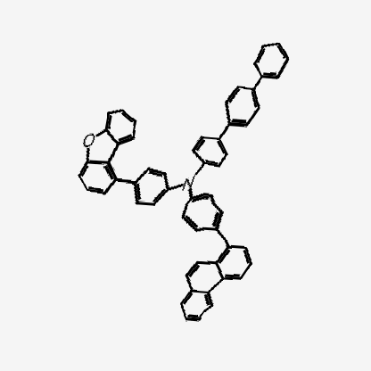 c1ccc(-c2ccc(-c3ccc(N(c4ccc(-c5cccc6c5ccc5ccccc56)cc4)c4ccc(-c5cccc6oc7ccccc7c56)cc4)cc3)cc2)cc1